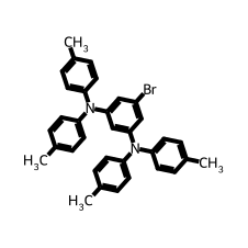 Cc1ccc(N(c2ccc(C)cc2)c2cc(Br)cc(N(c3ccc(C)cc3)c3ccc(C)cc3)c2)cc1